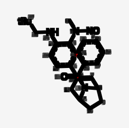 CN(N=O)c1nc(C2=CC3CCC(C2)N3C(=O)c2ccccc2)ccc1NCC(C)(C)C